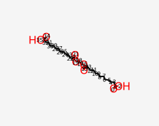 O=C(O)CCCCCCCCCCCC(=O)OCCOC(=O)CCCCCCCCCCCC(=O)O